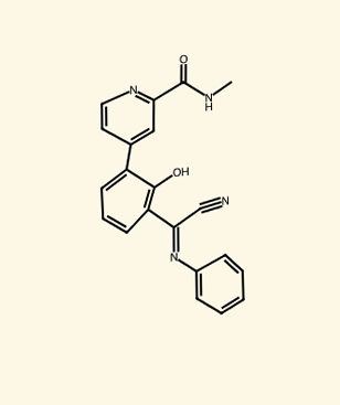 CNC(=O)c1cc(-c2cccc(/C(C#N)=N/c3ccccc3)c2O)ccn1